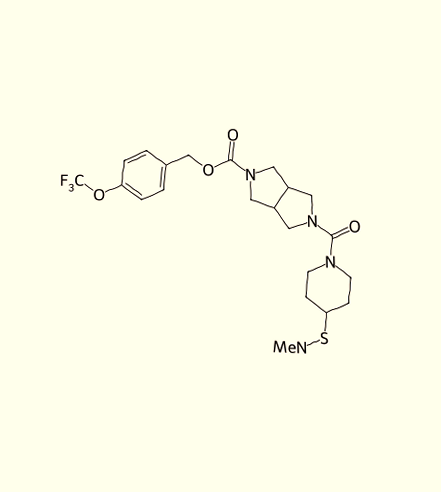 CNSC1CCN(C(=O)N2CC3CN(C(=O)OCc4ccc(OC(F)(F)F)cc4)CC3C2)CC1